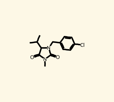 CC(C)C1C(=O)N(C)C(=O)N1Cc1ccc(Cl)cc1